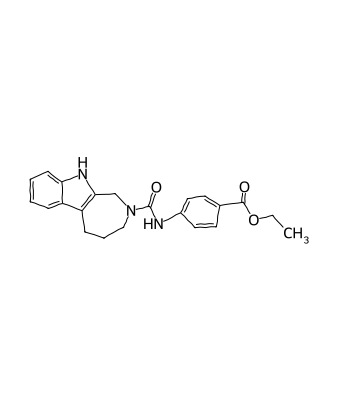 CCOC(=O)c1ccc(NC(=O)N2CCCc3c([nH]c4ccccc34)C2)cc1